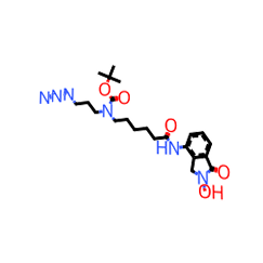 CC(C)(C)OC(=O)N(CCCCCC(=O)Nc1cccc2c1CN(O)C2=O)CCCN=[N+]=[N-]